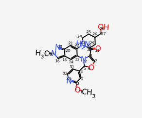 COc1cc(C2OC=C(C(N)=O)N2c2cc3cn(C)nc3cc2N2CCC(CO)CC2)ccn1